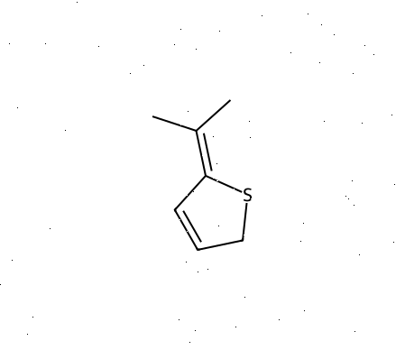 CC(C)=C1C=CCS1